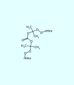 CCCCCCOOC(C)(C)OC(=O)OC(C)(C)OOCCCCCC